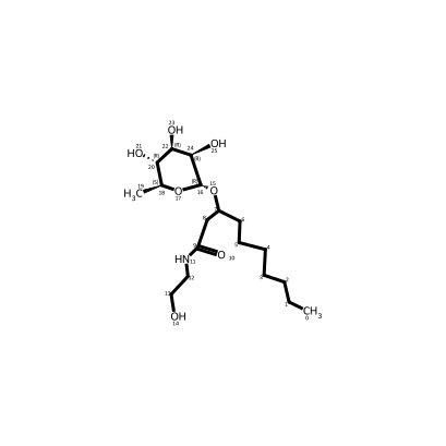 CCCCCCCC(CC(=O)NCCO)O[C@@H]1O[C@@H](C)[C@H](O)[C@@H](O)[C@H]1O